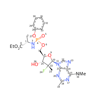 CCOC(=O)[C@H](C)NP(=O)(OC[C@H]1O[C@@H](n2cnc3c(NC)nc(C)nc32)[C@](C)(F)[C@@H]1O)Oc1ccccc1